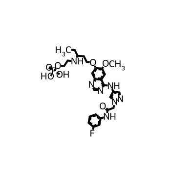 CCC(CCOc1cc2ncnc(Nc3cnn(CC(=O)Nc4cccc(F)c4)c3)c2cc1OC)NCCOP(=O)(O)O